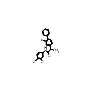 C[C@@H](C(=O)Nc1ccc(Cl)c(Cl)c1)c1ccc(-c2ccccc2)c(F)c1